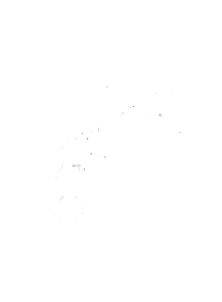 Cc1cn([C@H]2C[C@H](O)[C@@H](CO[Si](C)(C)C(C)(C)C)O2)c(=O)n(Cc2ccccc2)c1=O